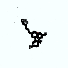 CCCCCCc1cccc(C2=CC(F)=CCC2(F)c2cccc(F)c2)c1